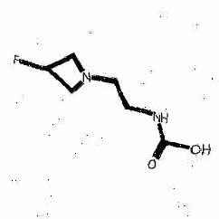 O=C(O)NCCN1CC(F)C1